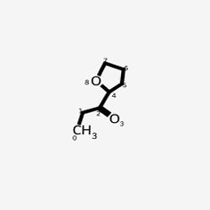 CCC(=O)C1CCCO1